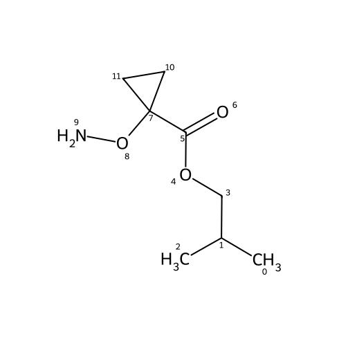 CC(C)COC(=O)C1(ON)CC1